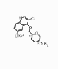 COc1ccc2ncc(Cl)c(OC[C@@H]3CC[C@@H](N)CO3)c2c1